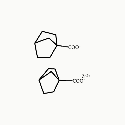 O=C([O-])C12CCC(CC1)C2.O=C([O-])C12CCC(CC1)C2.[Zr+2]